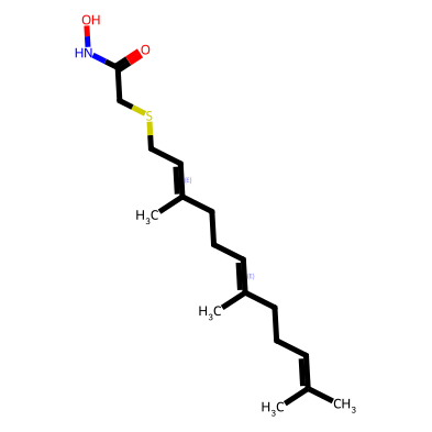 CC(C)=CCC/C(C)=C/CC/C(C)=C/CSCC(=O)NO